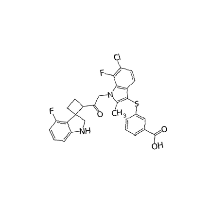 Cc1c(Sc2cccc(C(=O)O)c2)c2ccc(Cl)c(F)c2n1CC(=O)C1CCC12CNc1cccc(F)c12